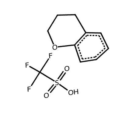 O=S(=O)(O)C(F)(F)F.c1ccc2c(c1)CCCO2